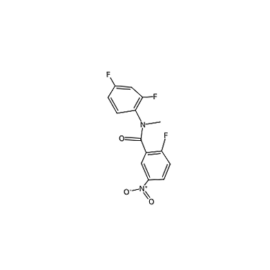 CN(C(=O)c1cc([N+](=O)[O-])ccc1F)c1ccc(F)cc1F